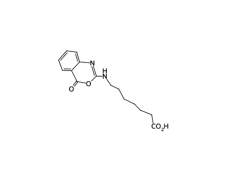 O=C(O)CCCCCCNc1nc2ccccc2c(=O)o1